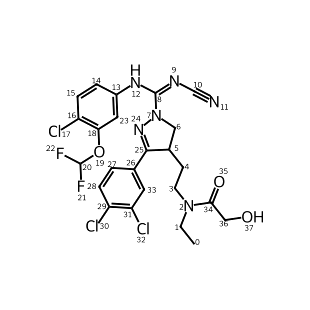 CCN(CCC1CN(/C(=N\C#N)Nc2ccc(Cl)c(OC(F)F)c2)N=C1c1ccc(Cl)c(Cl)c1)C(=O)CO